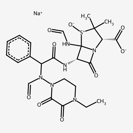 CCN1CCN(N(C=O)C(C(=O)N[C@H]2C(=O)N3[C@@H](C(=O)[O-])C(C)(C)[S+]([O-])C23NC=O)c2ccccc2)C(=O)C1=O.[Na+]